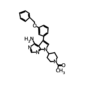 CC(=O)N1CCC(n2cc(-c3cccc(OCc4ccccc4)c3)c3c(N)ncnc32)CC1